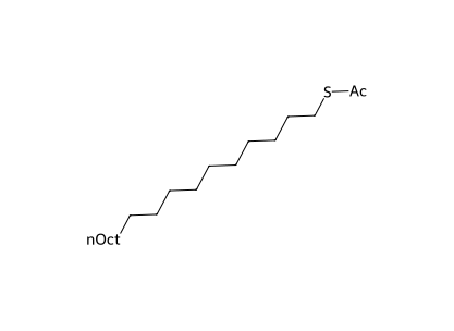 CCCCCCCCCCCCCCCCCCSC(C)=O